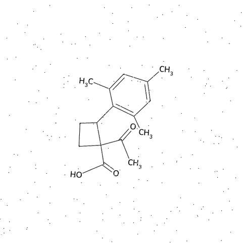 CC(=O)C1(C(=O)O)CCC1c1c(C)cc(C)cc1C